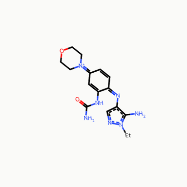 CCn1ncc(/N=C2/C=CC(=[N+]3CCOCC3)C=C2NC(N)=O)c1N